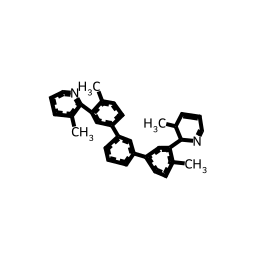 Cc1ccc(-c2cccc(-c3ccc(C)c(C4N=CC=CC4C)c3)c2)cc1-c1ncccc1C